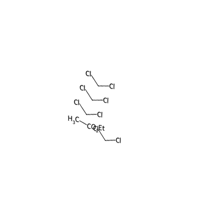 CCOC(C)=O.ClCCl.ClCCl.ClCCl.ClCCl